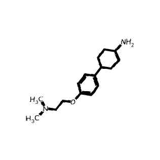 CN(C)CCOc1ccc(C2CCC(N)CC2)cc1